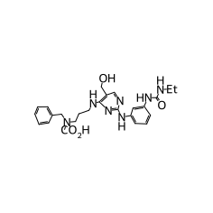 CCNC(=O)Nc1cccc(Nc2ncc(CO)c(NCCCN(Cc3ccccc3)C(=O)O)n2)c1